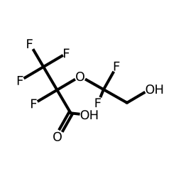 O=C(O)C(F)(OC(F)(F)CO)C(F)(F)F